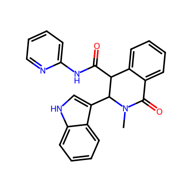 CN1C(=O)c2ccccc2C(C(=O)Nc2ccccn2)C1c1c[nH]c2ccccc12